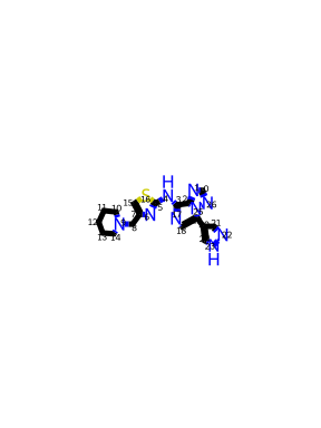 c1nc2c(Nc3nc(CN4CCCCC4)cs3)ncc(-c3cn[nH]c3)n2n1